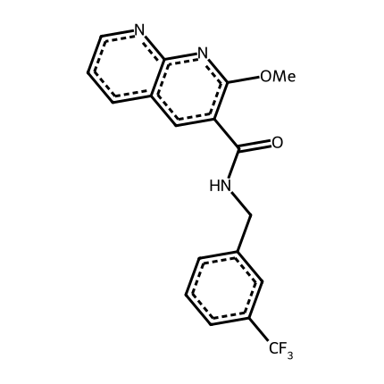 COc1nc2ncccc2cc1C(=O)NCc1cccc(C(F)(F)F)c1